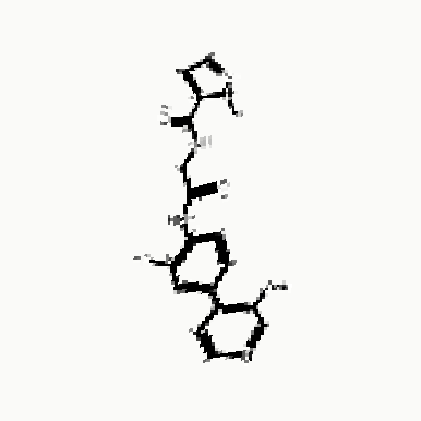 COc1cnccc1-c1ccc(NC(=O)CNC(=O)c2ccnn2C)c(F)c1